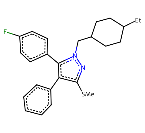 CCC1CCC(Cn2nc(SC)c(-c3ccccc3)c2-c2ccc(F)cc2)CC1